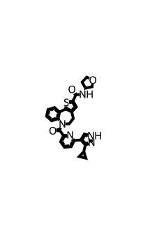 O=C(N[C@@H]1CCOC1)c1cc2c(s1)-c1ccccc1N(C(=O)c1cccc(-c3c[nH]nc3C3CC3)n1)CC2